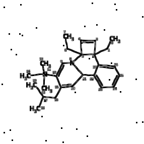 CCC12C=CC1(CC)N1C=C([Si](C)(C)C)C(CC(C)C)=CC1c1ccccc12